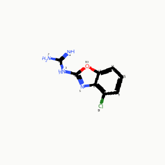 N=C(N)Nc1nc2c(Cl)cccc2o1